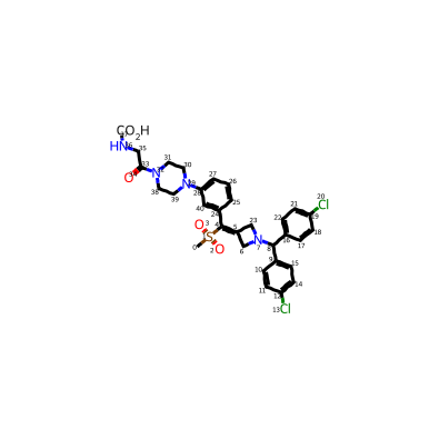 CS(=O)(=O)C(=C1CN(C(c2ccc(Cl)cc2)c2ccc(Cl)cc2)C1)c1cccc(N2CCN(C(=O)CNC(=O)O)CC2)c1